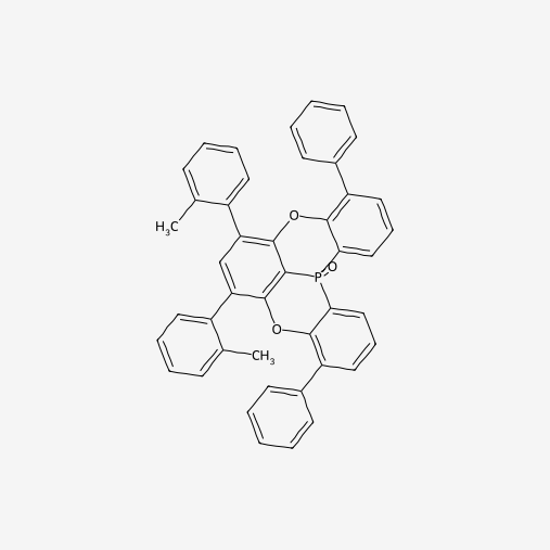 Cc1ccccc1-c1cc(-c2ccccc2C)c2c3c1Oc1c(-c4ccccc4)cccc1P3(=O)c1cccc(-c3ccccc3)c1O2